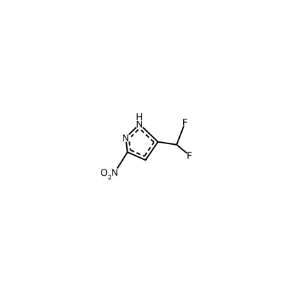 O=[N+]([O-])c1cc(C(F)F)[nH]n1